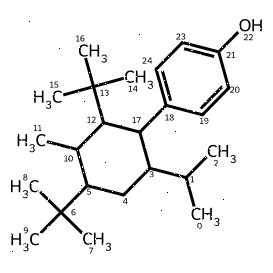 CC(C)C1CC(C(C)(C)C)C(C)C(C(C)(C)C)C1c1ccc(O)cc1